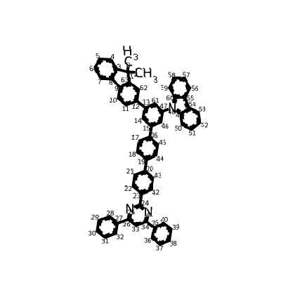 CC1(C)c2ccccc2-c2ccc(-c3cc(-c4ccc(-c5ccc(-c6nc(-c7ccccc7)cc(-c7ccccc7)n6)cc5)cc4)cc(-n4c5ccccc5c5ccccc54)c3)cc21